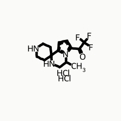 CC1CNC2(CCNCC2)c2ccc(C(=O)C(F)(F)F)n21.Cl.Cl